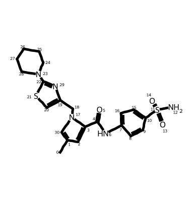 Cc1cc(C(=O)Nc2ccc(S(N)(=O)=O)cc2)n(Cc2csc(N3CCCCC3)n2)c1